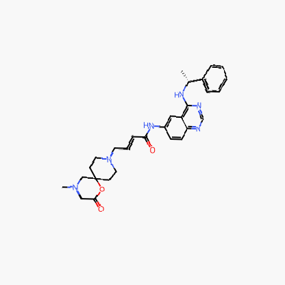 C[C@@H](Nc1ncnc2ccc(NC(=O)/C=C/CN3CCC4(CC3)CN(C)CC(=O)O4)cc12)c1ccccc1